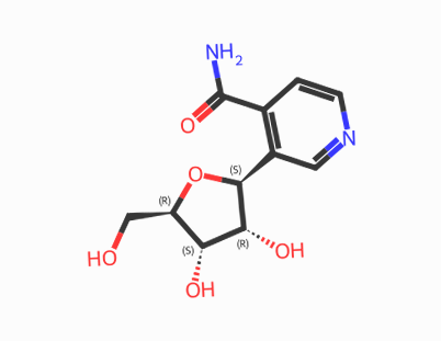 NC(=O)c1ccncc1[C@@H]1O[C@H](CO)[C@@H](O)[C@H]1O